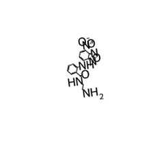 NCCNC(=O)c1ccccc1Nc1ccc([N+](=O)[O-])c2nonc12